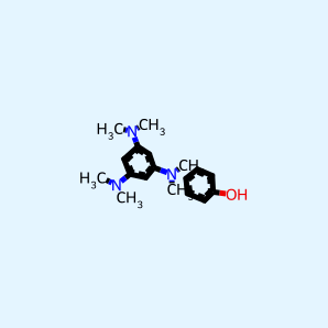 CN(C)c1cc(N(C)C)cc(N(C)C)c1.Oc1ccccc1